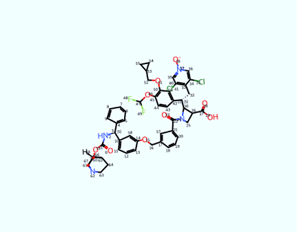 O=C(N[C@@H](c1ccccc1)c1cccc(OCc2cccc(C(=O)N3CC(C(=O)O)C3[C@@H](Cc3c(Cl)c[n+]([O-])cc3Cl)c3ccc(OC(F)F)c(OCC4CC4)c3)c2)c1)O[C@H]1CN2CCC1CC2